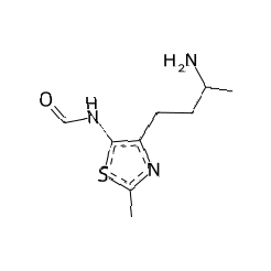 Cc1nc(CCC(C)N)c(NC=O)s1